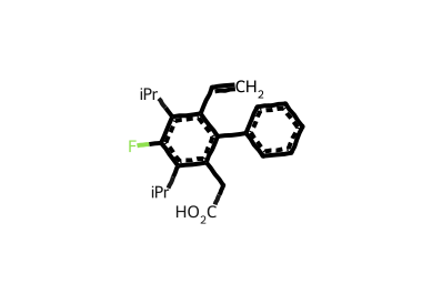 C=Cc1c(-c2ccccc2)c(CC(=O)O)c(C(C)C)c(F)c1C(C)C